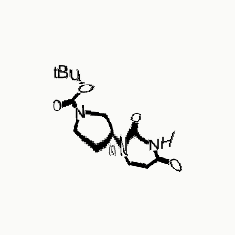 CC(C)(C)OC(=O)N1CC[C@H](n2ccc(=O)[nH]c2=O)C1